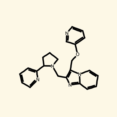 c1ccc(C2CCCN2Cc2nc3ccccn3c2COc2cccnc2)nc1